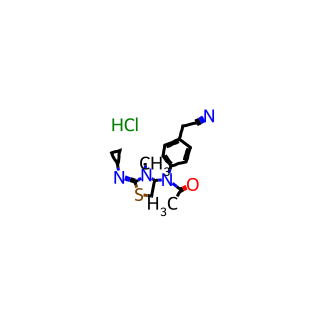 CC(=O)N(c1ccc(CC#N)cc1)C1CSC(=NC2CC2)N1C.Cl